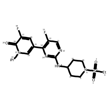 CCS(=O)(=O)N1CCC(Nc2ncc(F)c(-c3cc(F)c(=O)n(C(C)C)c3)n2)CC1